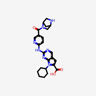 O=C(O)c1cc2cnc(Nc3ccc(C(=O)N4CC5CC4CN5)cn3)nc2n1C1CCCCC1